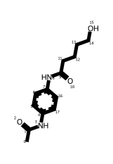 CC(=O)Nc1ccc(NC(=O)CCCCO)cc1